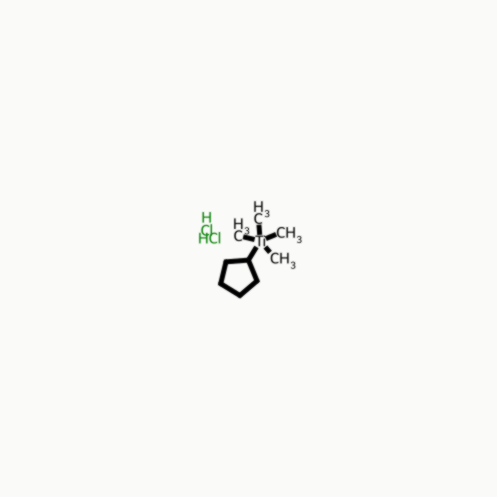 Cl.Cl.[CH3][Ti]([CH3])([CH3])([CH3])[CH]1CCCC1